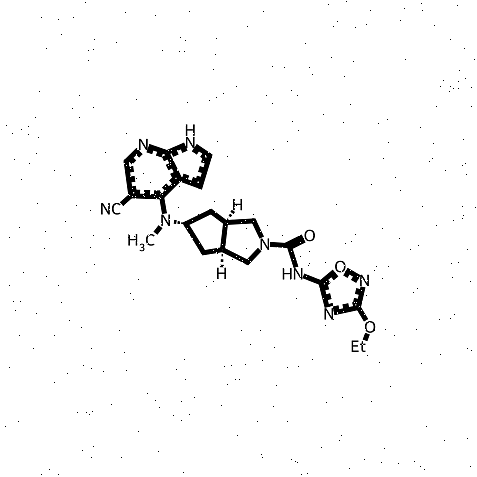 CCOc1noc(NC(=O)N2C[C@H]3C[C@H](N(C)c4c(C#N)cnc5[nH]ccc45)C[C@H]3C2)n1